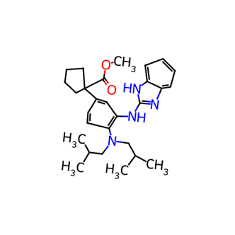 COC(=O)C1(c2ccc(N(CC(C)C)CC(C)C)c(Nc3nc4ccccc4[nH]3)c2)CCCC1